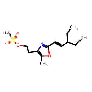 CCC(C=Cc1nc(CCOS(C)(=O)=O)c(C)o1)CC